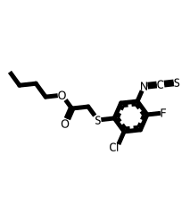 CCCCOC(=O)CSc1cc(N=C=S)c(F)cc1Cl